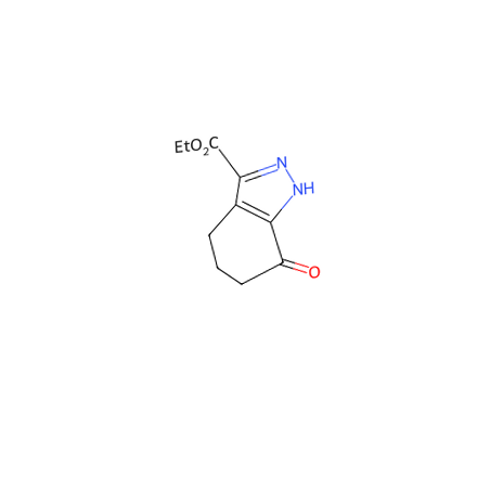 CCOC(=O)c1n[nH]c2c1CCCC2=O